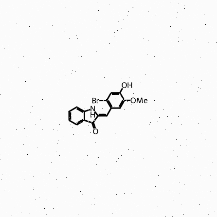 COc1cc(/C=C2\Nc3ccccc3C2=O)c(Br)cc1O